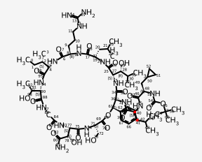 CC[C@H](C)[C@@H]1NC(=O)[C@@H](CCCNC(=N)N)NC(=O)[C@H](CC(C)C)NC(=O)[C@H]([C@H](O)C(C)C)NC(=O)[C@@H](NC(=O)[C@H](CC(C)C)NC(=O)[C@@H](CC2CC2)NC(=O)OC(C)(C)C)[C@@H](c2ccccc2)OC(=O)[C@H](CO)NC(=O)[C@H]([C@H](O)C(N)=O)NC(=O)CNC(=O)[C@H]([C@H](C)O)NC1=O